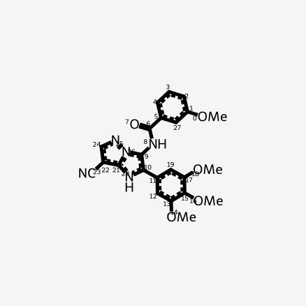 COc1cccc(C(=O)Nc2c(-c3cc(OC)c(OC)c(OC)c3)[nH]c3c(C#N)cnn23)c1